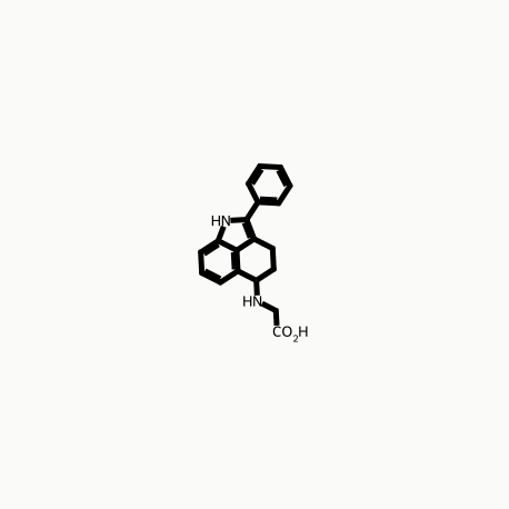 O=C(O)CNC1CCc2c(-c3ccccc3)[nH]c3cccc1c23